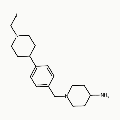 NC1CCN(Cc2ccc(C3CCN(CI)CC3)cc2)CC1